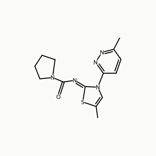 Cc1ccc(-n2cc(C)sc2=NC(=O)N2CCCC2)nn1